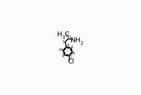 C[C@H](N)Cc1ccc(Cl)cc1